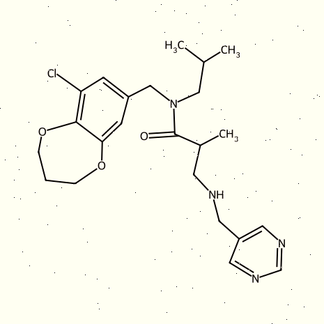 CC(C)CN(Cc1cc(Cl)c2c(c1)OCCCO2)C(=O)C(C)CNCc1cncnc1